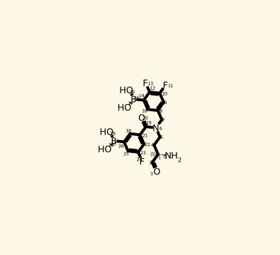 N[C@H](C=O)CCN(Cc1cc(F)c(F)c(B(O)O)c1)C(=O)c1cc(F)cc(B(O)O)c1